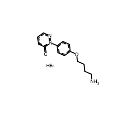 Br.NCCCCOc1ccc(-n2ncccc2=O)cc1